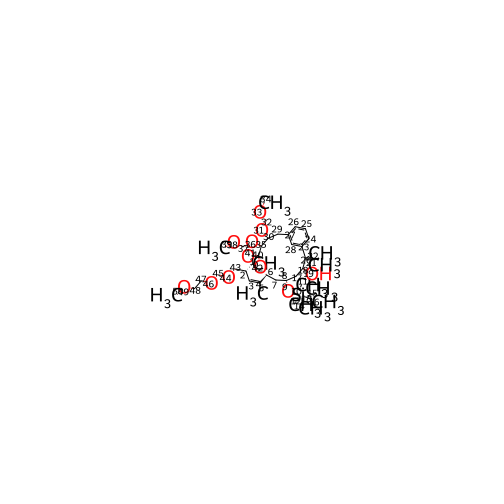 CC[C@H](/C=C(/C)[C@@H]1C[C@@H](O[Si](C)(C)C(C)(C)C)C[C@H](O)C(C)(C)c2cccc(c2)C[C@@H](OCOC)[C@H](OCOC)C(=O)O1)COCOCCOC